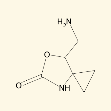 NCC1OC(=O)NC12CC2